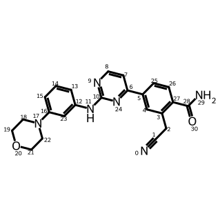 N#CCc1cc(-c2ccnc(Nc3cccc(N4CCOCC4)c3)n2)ccc1C(N)=O